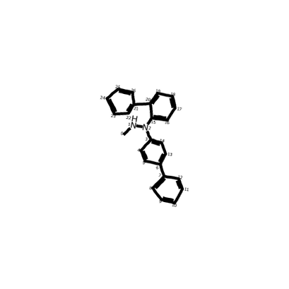 CNN(c1ccc(-c2ccccc2)cc1)c1ccccc1-c1ccccc1